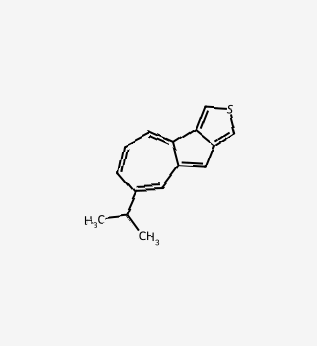 CC(C)c1cccc2c3cscc3cc-2c1